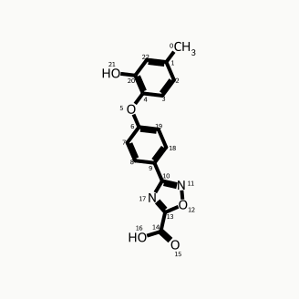 Cc1ccc(Oc2ccc(-c3noc(C(=O)O)n3)cc2)c(O)c1